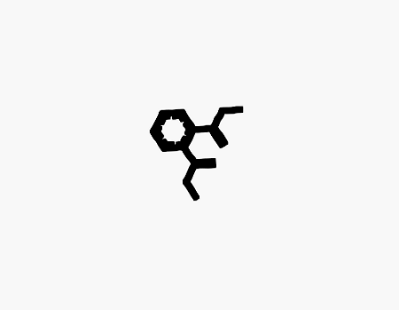 C=C(CC)c1ccccc1C(=C)CC